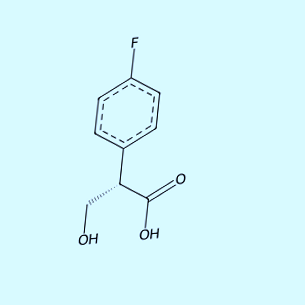 O=C(O)[C@H](CO)c1ccc(F)cc1